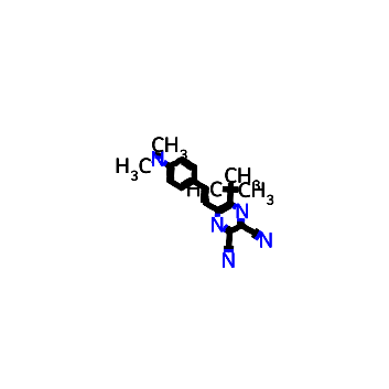 CN(C)c1ccc(/C=C/c2nc(C#N)c(C#N)nc2C(C)(C)C)cc1